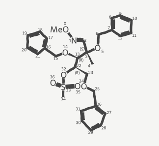 CON=C[C@](C)(OCc1ccccc1)[C@H](OCc1ccccc1)[C@@H](COCc1ccccc1)OS(C)(=O)=O